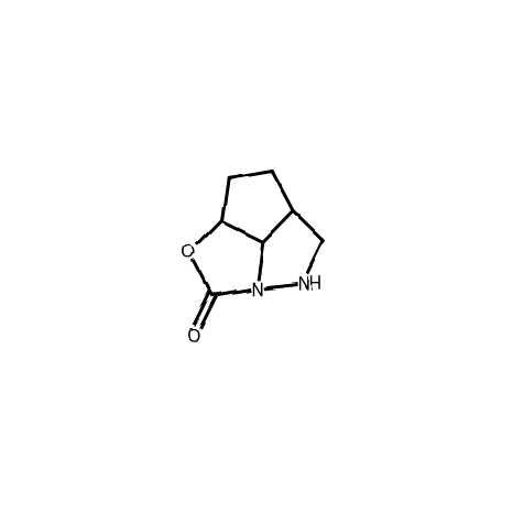 O=C1OC2CCC3CNN1C32